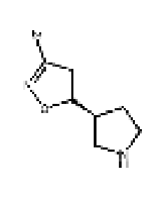 BrC1=NOC([C@H]2CCNC2)C1